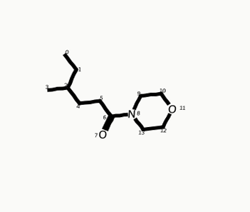 CCC(C)CCC(=O)N1CCOCC1